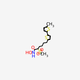 Cc1ccc(-c2ccc(CCCCC(C(=O)NO)S(C)(=O)=O)s2)s1